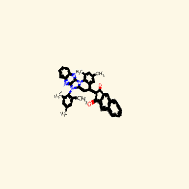 Cc1cc(C)c(N2C3=CC(=C4C(=O)c5cc6ccccc6cc5C4=O)c4cc(C)cc(C)c4N3c3nc4ccccc4nc32)c(C)c1